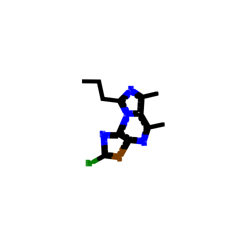 CCCc1nc(C)c2c(C)nc3sc(Br)nc3n12